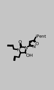 C=CCC1C(O)N(c2cc(C(C)CCC)on2)C(=O)N1CC=C